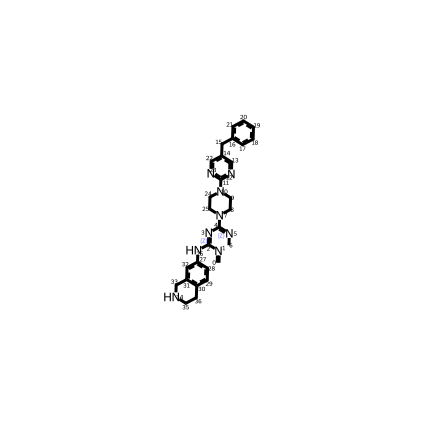 C=N/C(=N\C(=N/C)N1CCN(c2ncc(Cc3ccccc3)cn2)CC1)Nc1ccc2c(c1)CNCC2